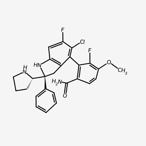 COc1ccc(C(N)=O)c(-c2c(Cl)c(F)cc3c2C[C@](c2ccccc2)([C@@H]2CCCN2)N3)c1F